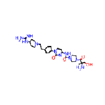 CC(N)(CO)C(=O)N1CCN(C(=O)Nc2ccn(-c3ccc(CCN4CCC(NC(=N)N)CC4)cc3)c(=O)n2)CC1